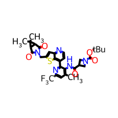 Cc1cc(C(F)(F)F)nc(-c2ccnc3cc(CN4C(=O)C5C(C4=O)C5(C)C)sc23)c1NC(=O)C1CN(C(=O)OC(C)(C)C)C1